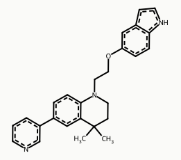 CC1(C)CCN(CCOc2ccc3[nH]ccc3c2)c2ccc(-c3cccnc3)cc21